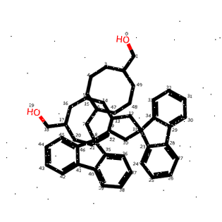 OCC1CCCC(CC2(CCC3(CC4CCCC(CO)CCC4)c4ccccc4-c4ccccc43)c3ccccc3-c3ccccc32)CCC1